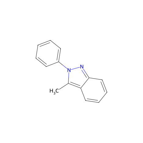 Cc1c2ccccc2nn1-c1ccccc1